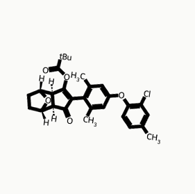 Cc1ccc(Oc2cc(C)c(C3=C(OC(=O)C(C)(C)C)[C@H]4[C@@H](C3=O)[C@@H]3CC[C@H]4O3)c(C)c2)c(Cl)c1